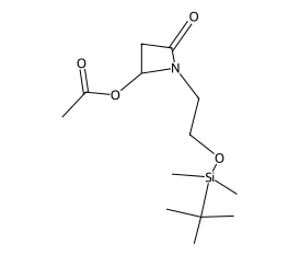 CC(=O)OC1CC(=O)N1CCO[Si](C)(C)C(C)(C)C